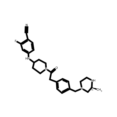 C[C@H]1CN(Cc2ccc(CC(=O)N3CCC(Nc4ccc(C#N)c(F)c4)CC3)cc2)CCN1